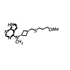 COCCCSC[C@H]1C[C@@H](N(C)c2ncnc3[nH]ccc23)C1